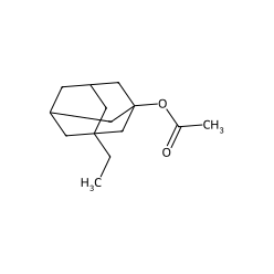 CCC12CC3CC(C1)CC(OC(C)=O)(C3)C2